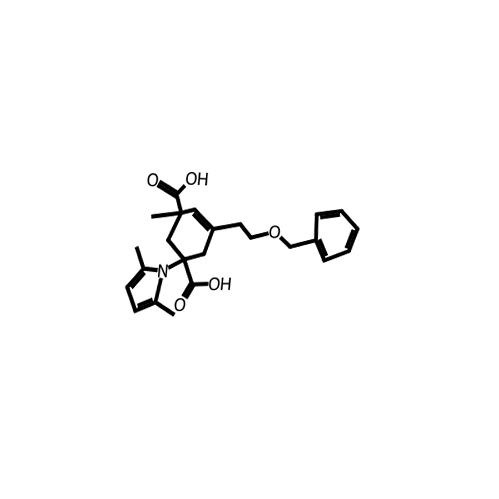 Cc1ccc(C)n1C1(C(=O)O)CC(CCOCc2ccccc2)=CC(C)(C(=O)O)C1